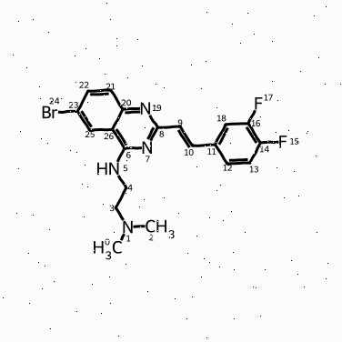 CN(C)CCNc1nc(C=Cc2ccc(F)c(F)c2)nc2ccc(Br)cc12